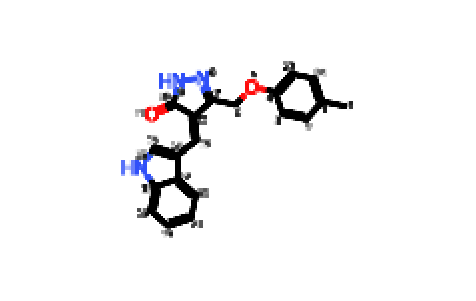 Cc1ccc(OCC2=NNC(=O)/C2=C\c2c[nH]c3ccccc23)cc1